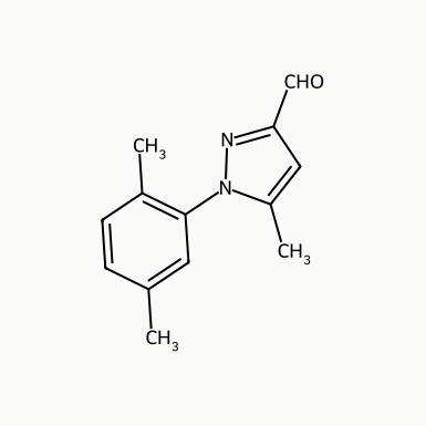 Cc1ccc(C)c(-n2nc(C=O)cc2C)c1